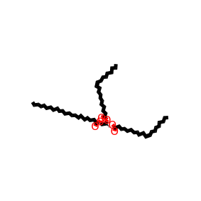 CCCCCCCC/C=C\CCCCCCCCCC(=O)OC[C@H](COC(=O)CCCCCCCCCCCCCCCCCCCCC)OC(=O)CCCCCCCCC/C=C\CCCCCCCC